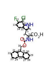 O=C(N[C@@H](Cc1c[nH]c2c(Cl)c(F)ccc12)C(=O)O)OCC1c2ccccc2-c2ccccc21